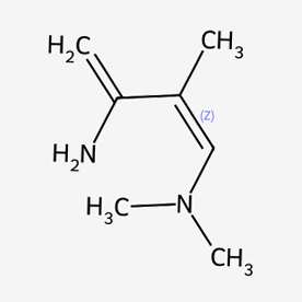 C=C(N)/C(C)=C\N(C)C